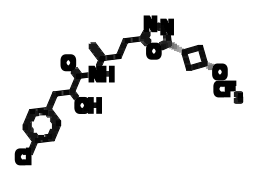 C=C(CCc1nnc([C@H]2C[C@@H](OC(F)(F)F)C2)o1)NC(=O)C(O)Cc1ccc(Cl)cc1